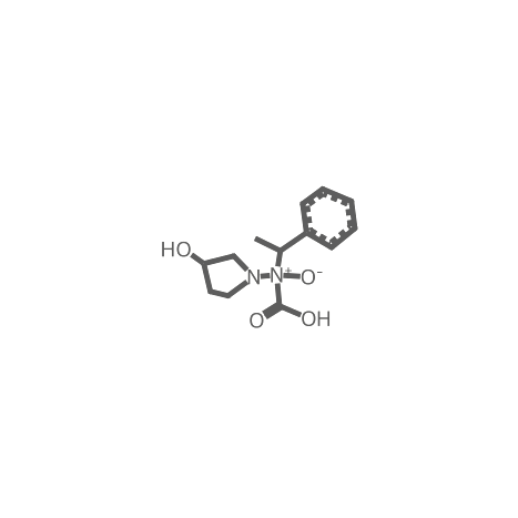 CC(c1ccccc1)[N+]([O-])(C(=O)O)N1CCC(O)C1